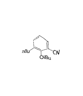 CCCCc1cccc(C#N)c1OCC(C)C